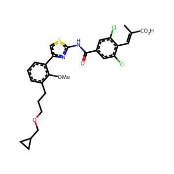 COc1c(CCCOCC2CC2)cccc1-c1csc(NC(=O)c2cc(Cl)c(/C=C(\C)C(=O)O)c(Cl)c2)n1